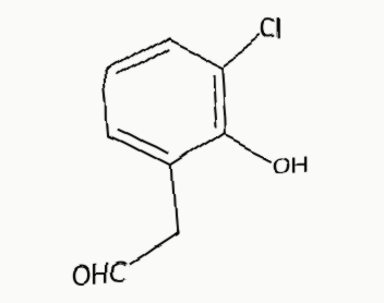 O=CCc1cccc(Cl)c1O